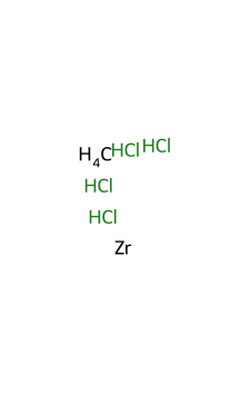 C.Cl.Cl.Cl.Cl.[Zr]